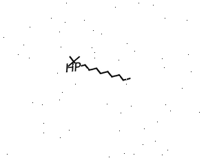 CCCCCCCCCPC(C)(C)C